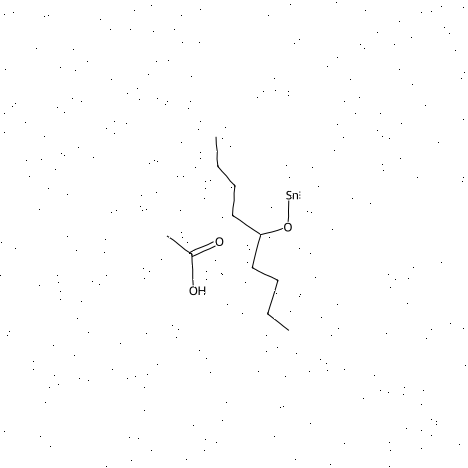 CC(=O)O.CCCCC(CCCC)[O][Sn]